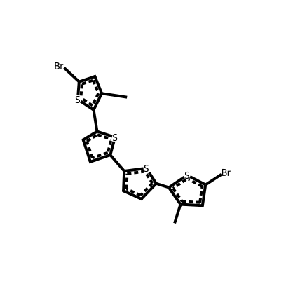 Cc1cc(Br)sc1-c1ccc(-c2ccc(-c3sc(Br)cc3C)s2)s1